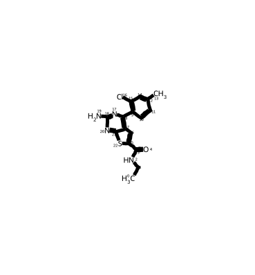 CCNC(=O)c1cc2c(-c3ccc(C)cc3Cl)nc(N)nc2s1